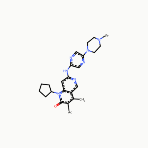 CC(=O)c1c(C)c2cnc(Nc3cnc(N4CCN(C(C)C)CC4)cn3)cc2n(C2CCCC2)c1=O